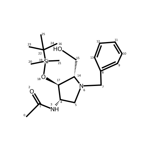 CC(=O)N[C@H]1CN(Cc2ccccc2)[C@@H](CO)[C@@H]1O[Si](C)(C)C(C)(C)C